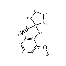 COc1ccccc1SC1(C#N)CCCC1